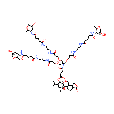 CC(C)C1C[C@@H]2O[C@@]23[C@@]2(C)CCC4=C(COC4=O)C2CO[C@]3(C)[C@@H]1OC(=O)CCC(=O)NC(COCCC(=O)NCCCNC(=O)CCCC(=O)N[C@@H]1C[C@H](O)COC1C)(COCCC(=O)NCCCNC(=O)CCCC(=O)N[C@@H]1C[C@H](O)COC1C)COCCC(=O)NCCCNC(=O)CCCC(=O)N[C@@H]1C[C@H](O)COC1C